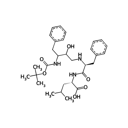 CC(C)C[C@H](NC(=O)[C@H](Cc1ccccc1)NCC(O)C(Cc1ccccc1)NC(=O)OC(C)(C)C)C(=O)O